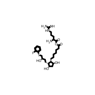 N=C(N)NCCCC(N)C(=O)OC(=O)CCCCCC[C@@H]1[C@@H](CC[C@@H](O)CSc2ccccc2F)[C@H](O)C[C@@H]1O